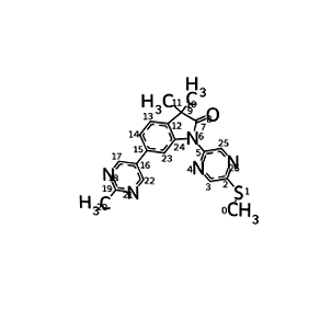 CSc1cnc(N2C(=O)C(C)(C)c3ccc(-c4cnc(C)nc4)cc32)cn1